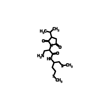 CSCCC(CSC)NC(=O)C(CN)N1C(=O)CC(C(C)C)C1=O